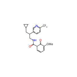 COC1=CC=CC(C(=O)NCC(CC2CC2)c2ccc(C(F)(F)F)nc2)C1=O